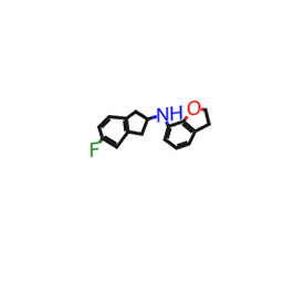 Fc1ccc2c(c1)CC(Nc1cccc3c1OCC3)C2